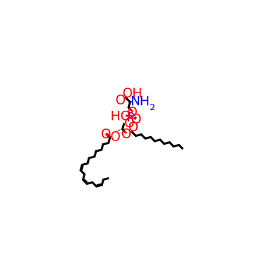 CC/C=C\C/C=C\C/C=C\CCCCCCCC(=O)OC[C@H](COP(=O)(O)OC[C@H](N)C(=O)O)OC(=O)CCCCCCCCCCC